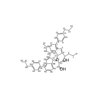 CCCCC1=Cc2c(-c3ccc(CCC)cc3)cccc2[CH]1[Zr]([CH](O)CO)[CH]1C(CCCC)=Cc2c(-c3ccc(CCC)cc3)cccc21